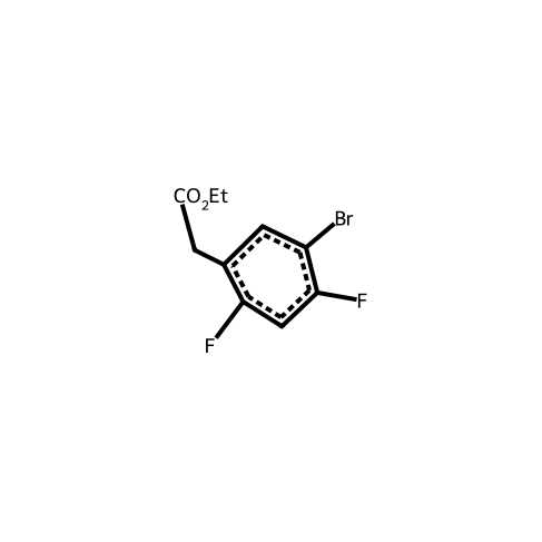 CCOC(=O)Cc1cc(Br)c(F)cc1F